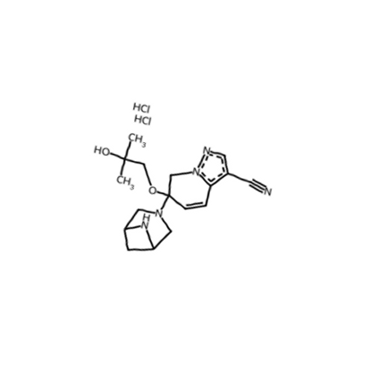 CC(C)(O)COC1(N2CC3CC(C2)N3)C=Cc2c(C#N)cnn2C1.Cl.Cl